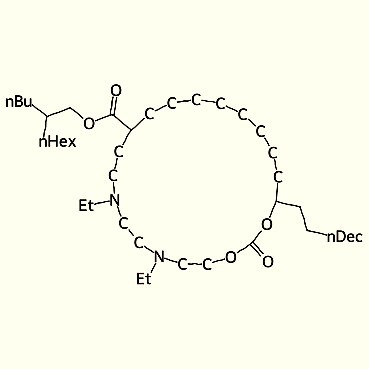 CCCCCCCCCCCCC1CCCCCCCCC(C(=O)OCC(CCCC)CCCCCC)CCN(CC)CCN(CC)CCOC(=O)O1